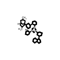 C[C@@H]1C[C@@H]2C[C@H](C)CC(c3cc(C#N)cc(-c4ccccc4-[n+]4c[n+](-c5ccccc5)c[n+](-c5cccc(-c6cccc7ccccc67)c5)c4)c3)(C1)C2